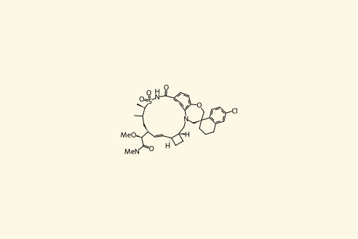 CNC(=O)[C@@H](OC)[C@@H]1/C=C/[C@@H]2CC[C@H]2CN2C[C@@]3(CCCc4cc(Cl)ccc43)COc3ccc(cc32)C(=O)NS(=O)(=O)[C@H](C)C(C)C1